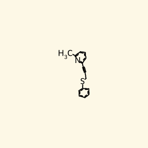 Cc1cccc(C#CCSc2ccccc2)n1